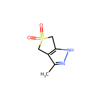 Cc1n[nH]c2c1CS(=O)(=O)C2